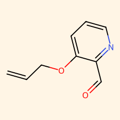 C=CCOc1cccnc1C=O